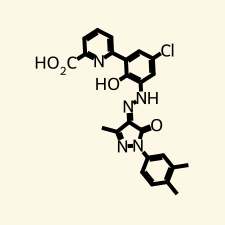 CC1=NN(c2ccc(C)c(C)c2)C(=O)C1=NNc1cc(Cl)cc(-c2cccc(C(=O)O)n2)c1O